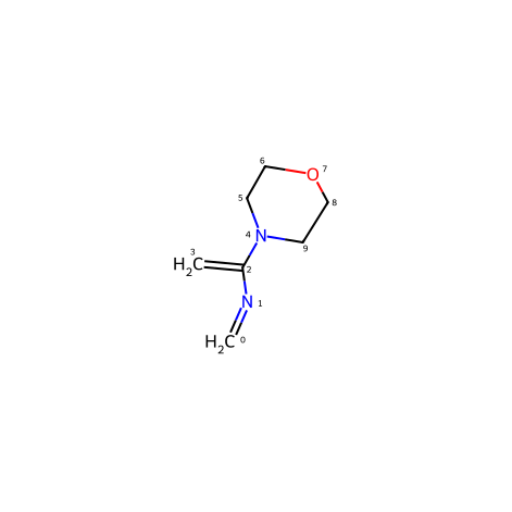 C=NC(=C)N1CCOCC1